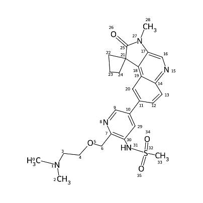 CN(C)CCOCc1ncc(-c2ccc3ncc4c(c3c2)C2(CCC2)C(=O)N4C)cc1NS(C)(=O)=O